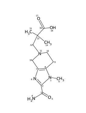 Cn1c(C(N)=O)nc2c1CCN(CC(C)(C)C(=O)O)C2